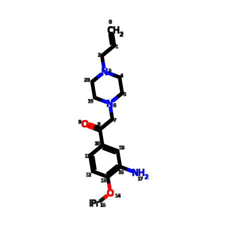 C=CCN1CCN(CC(=O)c2ccc(OC(C)C)c(N)c2)CC1